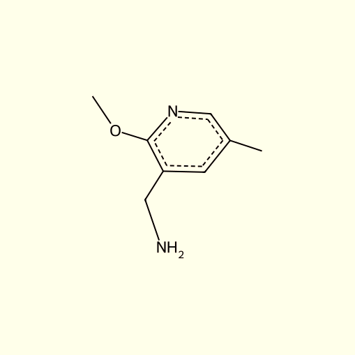 COc1ncc(C)cc1CN